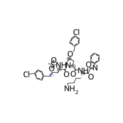 CS(=O)(=O)N[C@H](C/C=C/c1ccc(Cl)cc1)C(=O)N1C[C@H](OCc2ccc(Cl)cc2)C[C@H]1C(=O)N[C@@H](CCCCN)C(=O)c1nc2ccccc2o1